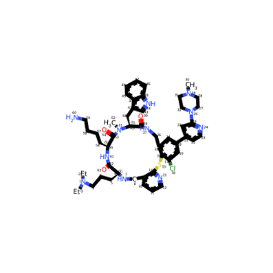 CCN(CC)CCC[C@@H]1NCc2cccnc2Sc2c(Cl)cc(-c3ccnc(N4CCN(C)CC4)c3)cc2CNC(=O)[C@H](Cc2c[nH]c3ccccc23)N(C)C(=O)[C@H](CCCCN)NC1=O